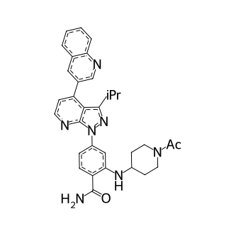 CC(=O)N1CCC(Nc2cc(-n3nc(C(C)C)c4c(-c5cnc6ccccc6c5)ccnc43)ccc2C(N)=O)CC1